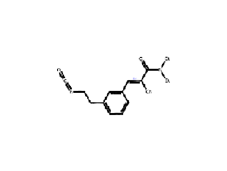 CCN(CC)C(=O)/C(C#N)=C/c1cccc(CCN=C=O)c1